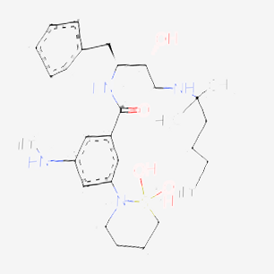 CC(C)CCCC(C)(C)NC[C@@H](O)[C@H](Cc1ccccc1)NC(=O)c1cc(NC(C)C)cc(N2CCCCS2(O)O)c1